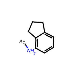 CC(N)=O.c1ccc2c(c1)CCC2